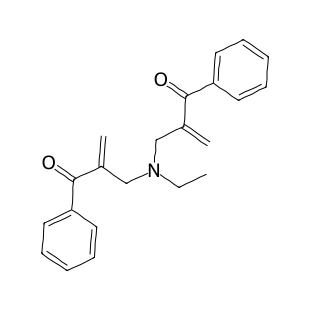 C=C(CN(CC)CC(=C)C(=O)c1ccccc1)C(=O)c1ccccc1